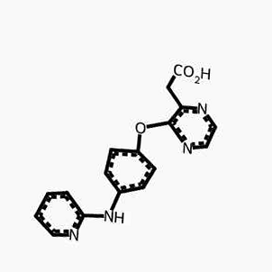 O=C(O)Cc1nccnc1Oc1ccc(Nc2ccccn2)cc1